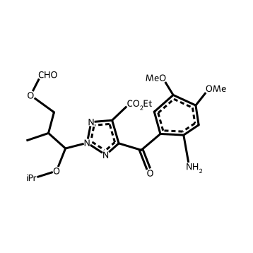 CCOC(=O)c1nn(C(OC(C)C)C(C)COC=O)nc1C(=O)c1cc(OC)c(OC)cc1N